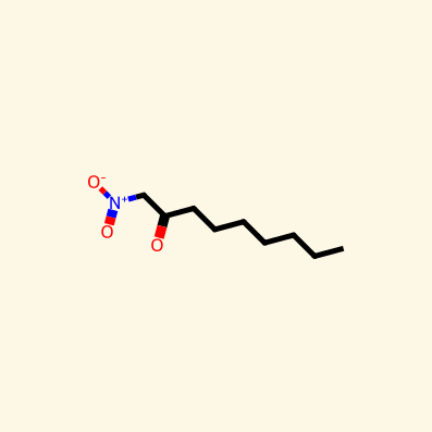 CCCCCCCC(=O)C[N+](=O)[O-]